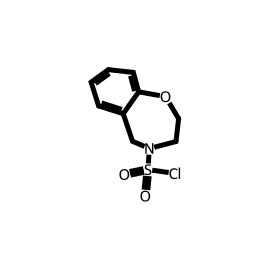 O=S(=O)(Cl)N1CCOc2ccccc2C1